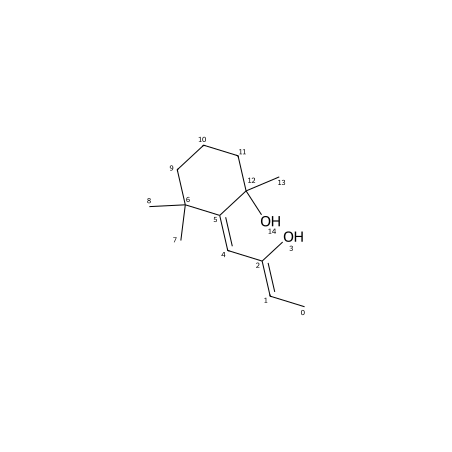 CC=C(O)C=C1C(C)(C)CCCC1(C)O